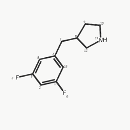 Fc1cc(F)cc(CC2CCNC2)c1